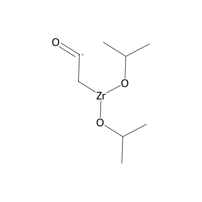 CC(C)[O][Zr]([CH2][C]=O)[O]C(C)C